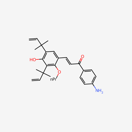 C=CC(C)(C)c1cc(C=CC(=O)c2ccc(N)cc2)c(OCCC)c(C(C)(C)C=C)c1O